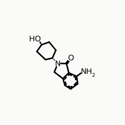 Nc1cccc2c1C(=O)N([C@H]1CC[C@H](O)CC1)C2